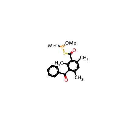 COP(OC)SC(=O)c1c(C)cc(C)c(C(=O)c2ccccc2)c1C